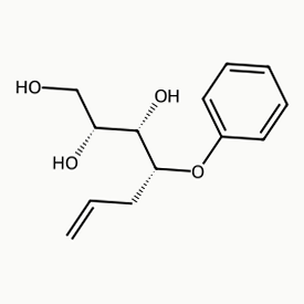 C=CC[C@@H](Oc1ccccc1)[C@@H](O)[C@H](O)CO